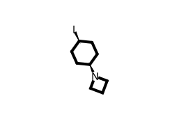 I[C@H]1CC[C@@H](N2CCC2)CC1